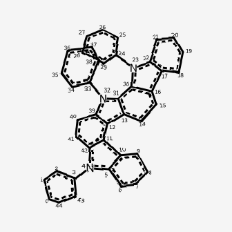 c1ccc(-n2c3ccccc3c3c4c5ccc6c7ccccc7n(-c7ccccc7)c6c5n(-c5ccccc5)c4ccc32)cc1